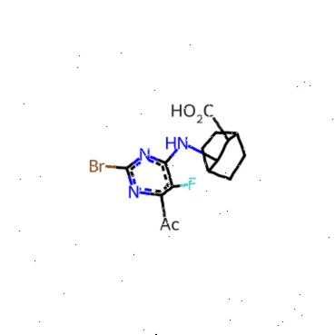 CC(=O)c1nc(Br)nc(NC2C3CCC(CC3)C2C(=O)O)c1F